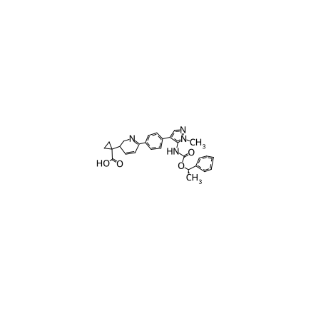 C[C@@H](OC(=O)Nc1c(-c2ccc(C3=NCC(C4(C(=O)O)CC4)C=C3)cc2)cnn1C)c1ccccc1